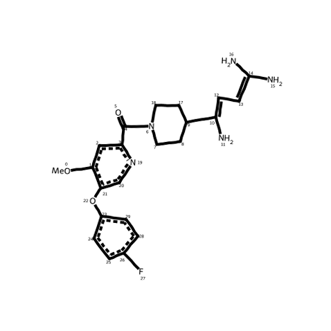 COc1cc(C(=O)N2CCC(/C(N)=C/C=C(N)N)CC2)ncc1Oc1ccc(F)cc1